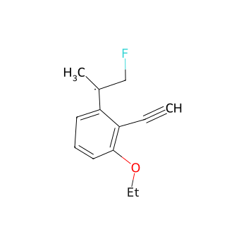 C#Cc1c(OCC)cccc1[C](C)CF